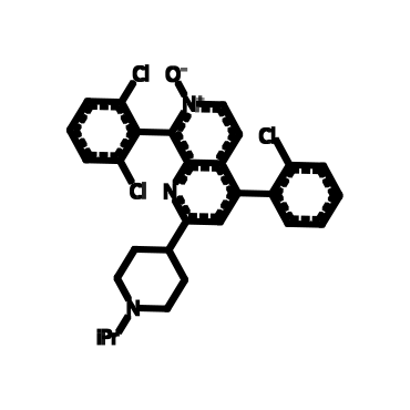 CC(C)N1CCC(c2cc(-c3ccccc3Cl)c3cc[n+]([O-])c(-c4c(Cl)cccc4Cl)c3n2)CC1